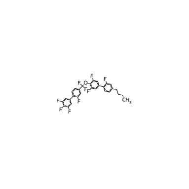 CCCCc1ccc(-c2cc(F)c(OC(F)(F)c3ccc(-c4cc(F)c(F)c(F)c4)c(F)c3)c(F)c2)c(F)c1